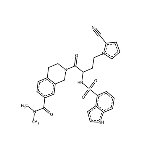 CN(C)C(=O)c1ccc2c(c1)CN(C(=O)C(CCn1cccc1C#N)NS(=O)(=O)c1cccc3[nH]ccc13)CC2